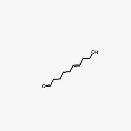 O=CCCCCC=CCCO